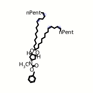 CCCCC/C=C\C/C=C\CCCCCCCCC1(CCCCCCC/C=C\C/C=C\CCCCC)O[C@H]2C[C@H](N(C)C(=O)OCc3ccccc3)C[C@H]2O1